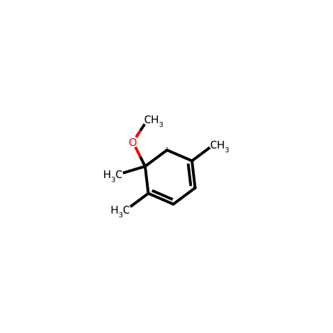 COC1(C)[CH]C(C)=CC=C1C